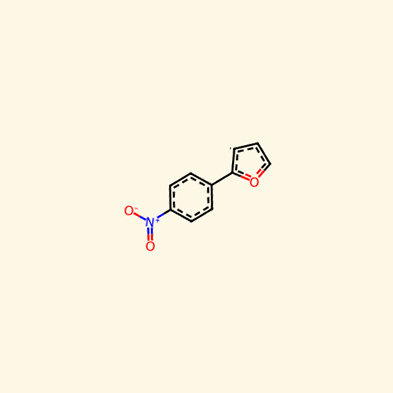 O=[N+]([O-])c1ccc(-c2[c]cco2)cc1